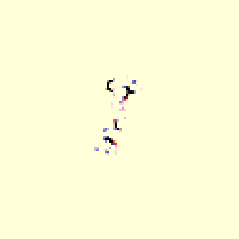 CC(C(=O)Nc1nnc(-c2cncnc2N2CCC[C@@H]2C)o1)n1cnc2c1c(=O)n(C)c(=O)n2C